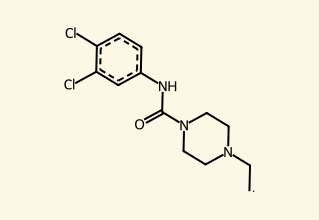 [CH2]CN1CCN(C(=O)Nc2ccc(Cl)c(Cl)c2)CC1